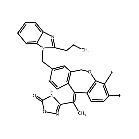 CCCc1nc2ccccc2n1Cc1ccc2c(c1)COc1c(ccc(F)c1F)/C2=C(\C)c1noc(=O)[nH]1